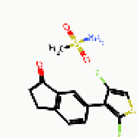 CS(N)(=O)=O.O=C1CCc2ccc(-c3c(F)csc3F)cc21